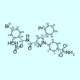 NS(=O)(=O)c1ccc(-n2nc(C(=O)NC(O[PH](=O)O)c3ccc(Br)cc3)cc2-c2ccccc2F)cc1